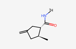 [2H]NC(=O)[C@H]1CC(=C)C[C@@H]1C